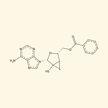 Nc1ncnc2c1ncn2[C@@H]1O[C@H](COC(=O)c2ccccc2)C2SC21S